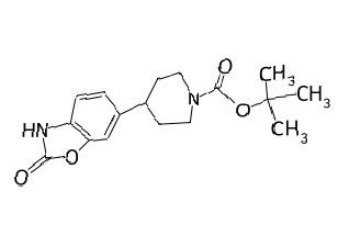 CC(C)(C)OC(=O)N1CCC(c2ccc3[nH]c(=O)oc3c2)CC1